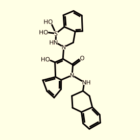 O=c1c(N2Cc3ccccc3S(O)(O)N2)c(O)c2ccccc2n1NC1CCc2ccccc2C1